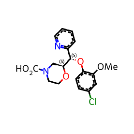 COc1cc(Cl)ccc1O[C@@H](c1ccccn1)[C@@H]1CN(C(=O)O)CCO1